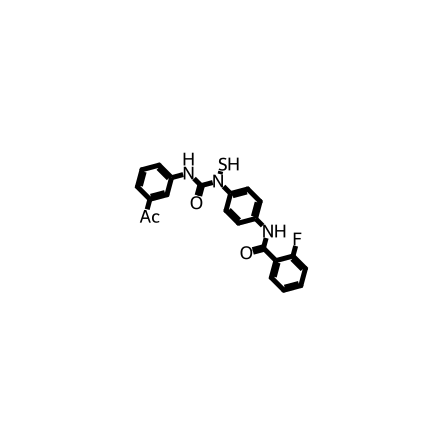 CC(=O)c1cccc(NC(=O)N(S)c2ccc(NC(=O)c3ccccc3F)cc2)c1